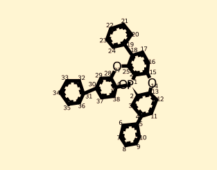 O=[P@]12c3cc(-c4ccccc4)ccc3Oc3ccc(-c4ccccc4)c(c31)Oc1cc(-c3ccccc3)ccc12